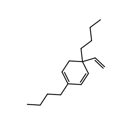 C=CC1(CCCC)C=CC(CCCC)=CC1